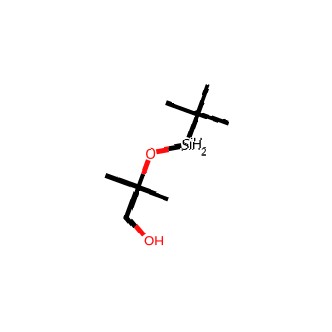 CC(C)(CO)O[SiH2]C(C)(C)C